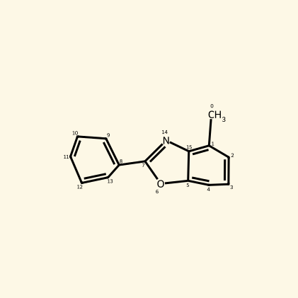 Cc1cccc2oc(-c3ccccc3)nc12